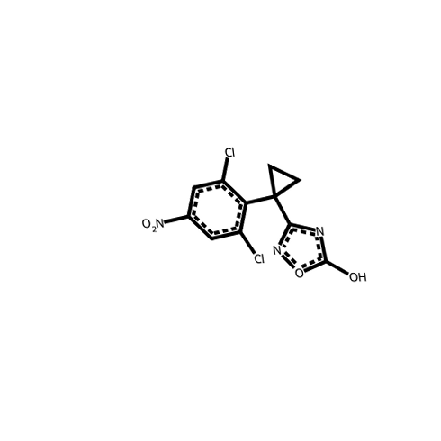 O=[N+]([O-])c1cc(Cl)c(C2(c3noc(O)n3)CC2)c(Cl)c1